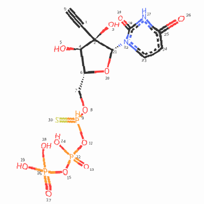 C#C[C@@]1(O)[C@H](O)[C@@H](CO[PH](=S)OP(=O)(O)OP(=O)(O)O)O[C@H]1n1ccc(=O)[nH]c1=O